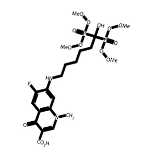 COOP(=O)(OOC)C(O)(CCCCCNc1cc2c(cc1F)c(=O)c(C(=O)O)cn2C)P(=O)(OOC)OOC